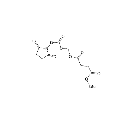 CC(C)(C)OC(=O)CCC(=O)OCOC(=O)ON1C(=O)CCC1=O